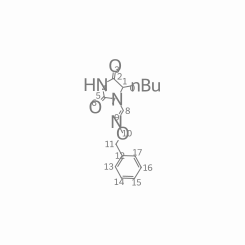 CCCCC1C(=O)NC(=O)N1C=NOCc1ccccc1